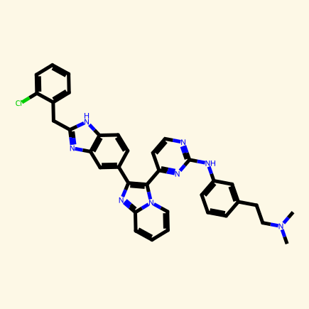 CN(C)CCc1cccc(Nc2nccc(-c3c(-c4ccc5[nH]c(Cc6ccccc6Cl)nc5c4)nc4ccccn34)n2)c1